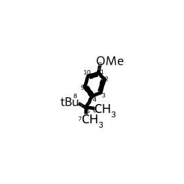 COc1ccc(C(C)(C)C(C)(C)C)cc1